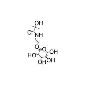 CC(C)(O)C(=O)NCCO[C@H]1OC(O)[C@@H](O)C(O)C1O